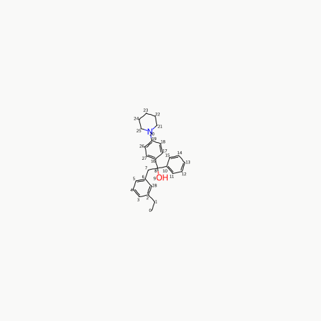 CCc1cccc(CC(O)(c2ccccc2)c2ccc(N3CCCCC3)cc2)c1